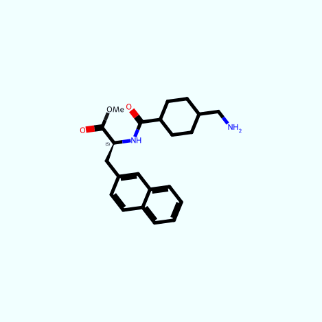 COC(=O)[C@H](Cc1ccc2ccccc2c1)NC(=O)C1CCC(CN)CC1